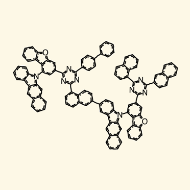 c1ccc(-c2ccc(-c3nc(-c4cc(-n5c6ccccc6c6cc7ccccc7cc65)c5c(c4)oc4ccccc45)nc(-c4cccc5cc(-c6ccc7c(c6)c6cc8ccccc8cc6n7-c6cc(-c7nc(-c8ccc9ccccc9c8)nc(-c8cccc9ccccc89)n7)cc7oc8ccccc8c67)ccc45)n3)cc2)cc1